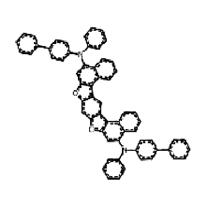 c1ccc(-c2ccc(N(c3ccccc3)c3cc4oc5cc6oc7cc(N(c8ccccc8)c8ccc(-c9ccccc9)cc8)c8ccccc8c7c6cc5c4c4ccccc34)cc2)cc1